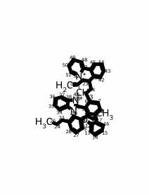 C=CC1C(CCc2ccc3c(oc4ccccc43)c2-c2n(-c3c(CCC)cccc3CCC)c3ccccc3[n+]2C)c2ccccc2-c2cccc[n+]21